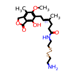 COc1c(C)c2c(c(O)c1C/C=C(\C)CCC(=O)NCCSSCCN)C(=O)OC2